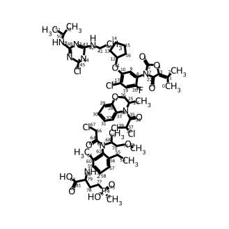 CC(C)=C1OC(=O)N(c2cc(OC3CCCC3)c(Cl)cc2F)C1=O.CC1COc2ccccc2N1C(=O)C(Cl)Cl.CCNc1nc(Cl)nc(NC(C)C)n1.CCc1cccc(C)c1N(C(=O)CCl)C(C)COC.CP(=O)(O)CCC(N)C(=O)O